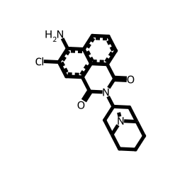 CN1C2CCCC1CC(N1C(=O)c3cccc4c(N)c(Cl)cc(c34)C1=O)C2